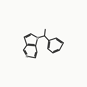 CC(c1ccccc1)n1ccc2cnccc21